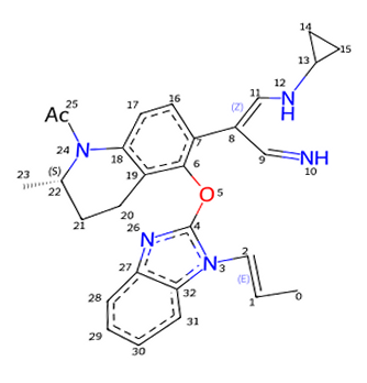 C/C=C/n1c(Oc2c(/C(C=N)=C/NC3CC3)ccc3c2CC[C@H](C)N3C(C)=O)nc2ccccc21